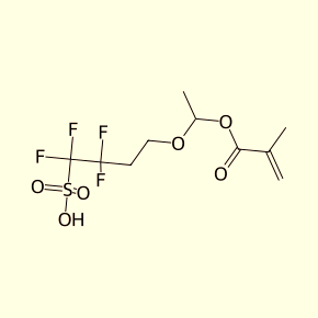 C=C(C)C(=O)OC(C)OCCC(F)(F)C(F)(F)S(=O)(=O)O